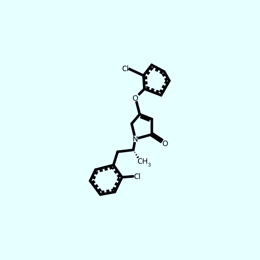 C[C@H](Cc1ccccc1Cl)N1CC(Oc2ccccc2Cl)=CC1=O